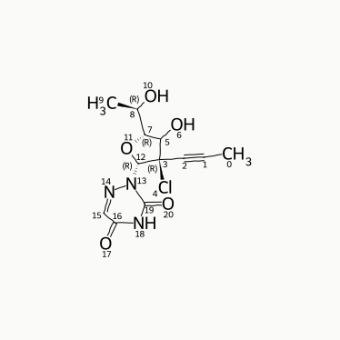 CC#C[C@@]1(Cl)C(O)[C@@H]([C@@H](C)O)O[C@H]1n1ncc(=O)[nH]c1=O